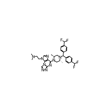 C[C@@H]1CN(c2nc3nncn3c3c2ncn3CCN(C)C)[C@@H](C)CN1C(c1ccc(C(F)F)cc1)c1ccc(C(F)F)cc1